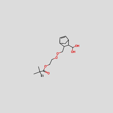 CCC(C)(C)C(=O)OCCOOCC1C2C=CC(C2)C1C(O)O